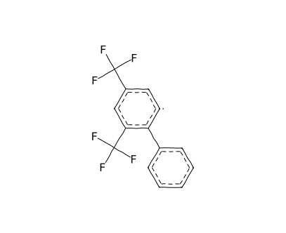 FC(F)(F)c1c[c]c(-c2ccccc2)c(C(F)(F)F)c1